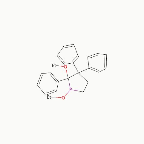 CCOP1CCC(c2ccccc2)(c2ccccc2)C1(OCC)c1ccccc1